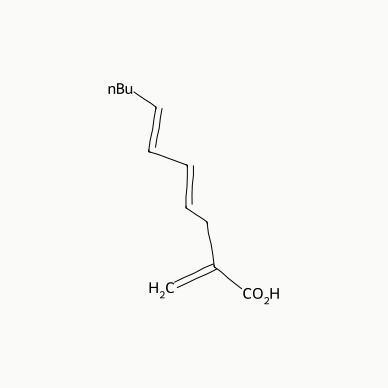 C=C(CC=CC=CCCCC)C(=O)O